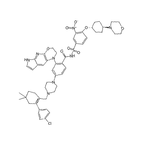 CC1(C)CCC(CN2CCN(c3ccc(C(=O)NS(=O)(=O)c4ccc(O[C@H]5CC[C@H](N6CCOCC6)CC5)c([N+](=O)[O-])c4)c(N4CCOc5nc6[nH]ccc6cc54)c3)CC2)=C(c2ccc(Cl)cc2)C1